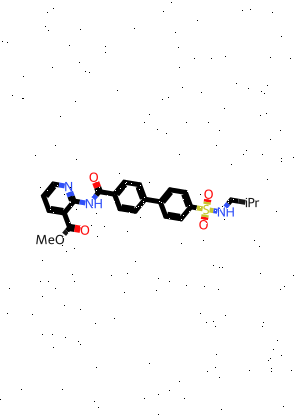 COC(=O)c1cccnc1NC(=O)c1ccc(-c2ccc(S(=O)(=O)NCC(C)C)cc2)cc1